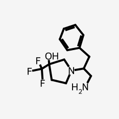 NCC(Cc1ccccc1)N1CCC(O)(C(F)(F)F)C1